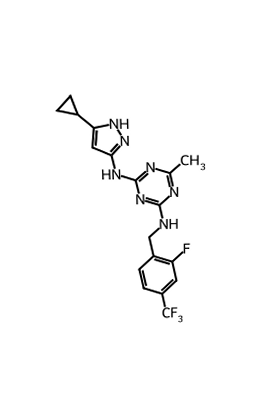 Cc1nc(NCc2ccc(C(F)(F)F)cc2F)nc(Nc2cc(C3CC3)[nH]n2)n1